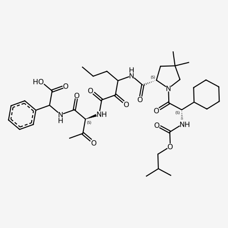 CCCC(NC(=O)[C@@H]1CC(C)(C)CN1C(=O)[C@@H](NC(=O)OCC(C)C)C1CCCCC1)C(=O)C(=O)N[C@@H](C(C)=O)C(=O)NC(C(=O)O)c1ccccc1